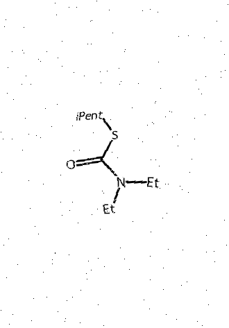 CCCC(C)SC(=O)N(CC)CC